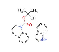 CC(C)(C)OC(=O)N1CC=Cc2ccccc21.c1ccc2[nH]ccc2c1